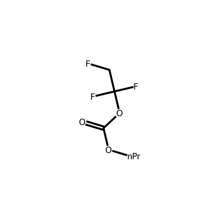 CCCOC(=O)OC(F)(F)CF